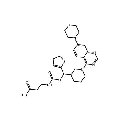 O=C(O)CCNC(=O)OC(C1=NCCS1)C1CCCN(c2ncnc3cc(N4CCOCC4)ccc23)C1